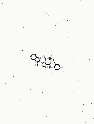 Cc1ccc(NC(=O)c2ncn(-c3nc4ccccc4[nH]3)c2C(N)=O)c(C)c1